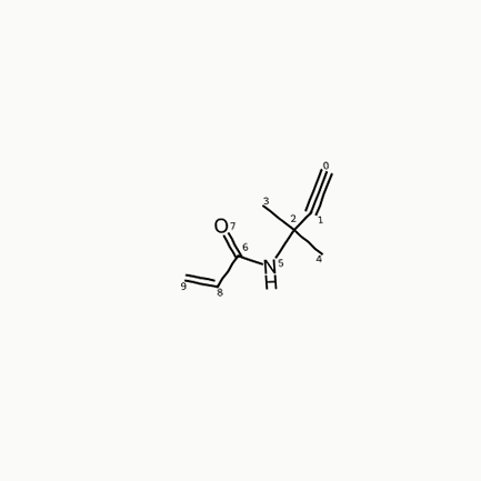 C#CC(C)(C)NC(=O)C=C